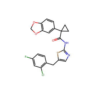 O=C(Nc1ncc(Cc2ccc(F)cc2Cl)s1)C1(c2ccc3c(c2)OCO3)CC1